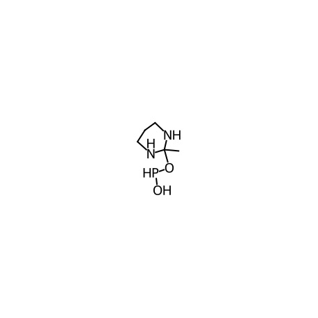 CC1(OPO)NCCCN1